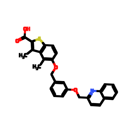 Cc1c(OCc2cccc(OCc3ccc4ccccc4n3)c2)ccc2sc(C(=O)O)c(C)c12